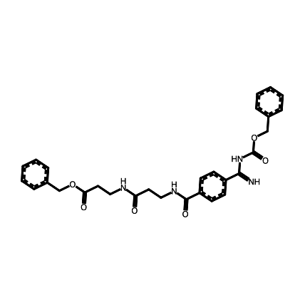 N=C(NC(=O)OCc1ccccc1)c1ccc(C(=O)NCCC(=O)NCCC(=O)OCc2ccccc2)cc1